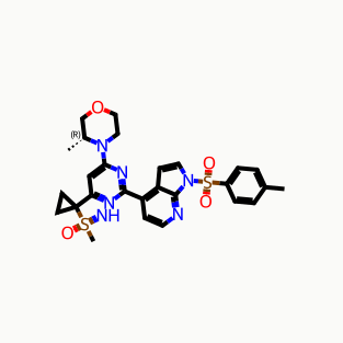 Cc1ccc(S(=O)(=O)n2ccc3c(-c4nc(N5CCOC[C@H]5C)cc(C5(S(C)(=N)=O)CC5)n4)ccnc32)cc1